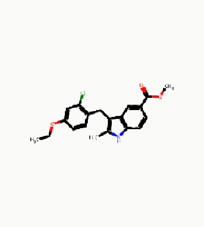 CCOc1ccc(Cc2c(C)[nH]c3ccc(C(=O)OC)cc23)c(Cl)c1